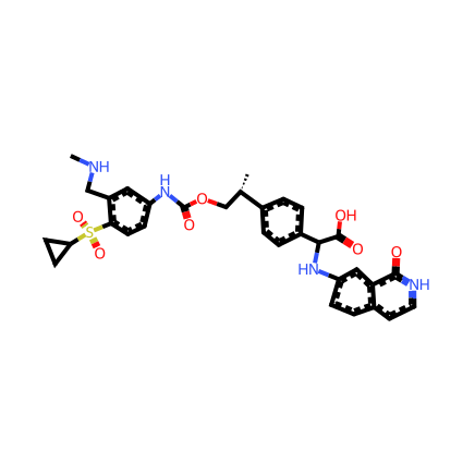 CNCc1cc(NC(=O)OC[C@H](C)c2ccc(C(Nc3ccc4cc[nH]c(=O)c4c3)C(=O)O)cc2)ccc1S(=O)(=O)C1CC1